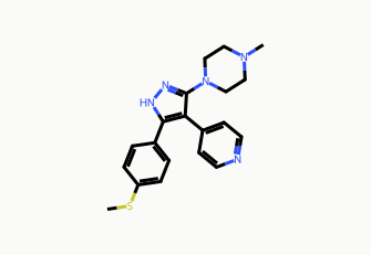 CSc1ccc(-c2[nH]nc(N3CCN(C)CC3)c2-c2ccncc2)cc1